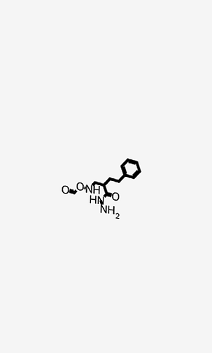 NNC(=O)C(CCc1ccccc1)CNOC=O